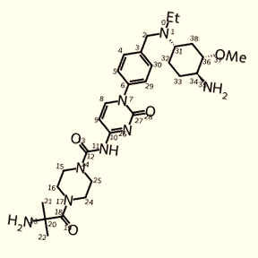 CCN(Cc1ccc(-n2ccc(NC(=O)N3CCN(C(=O)C(C)(C)N)CC3)nc2=O)cc1)[C@H]1CC[C@H](N)[C@@H](OC)C1